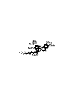 COc1cc2c(cc1OC)[C@@H](Cc1cc(OC)c(OC)c(OC)c1)[N@@+](C)(CCCC(CCCCCCC(=O)O)C(=O)[O-])CC2.Cl.Cl